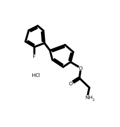 Cl.NCC(=O)Oc1ccc(-c2ccccc2F)cc1